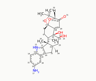 CC1(C)O[C@@]23CC[C@]4(C)[C@@]5(C)c6[nH]c7ccc(N)cc7c6C[C@@H]5C[C@H](O)[C@@]4(O)C2=CC(=O)[C@@H]1O3